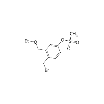 CCOCc1cc(OS(C)(=O)=O)ccc1CBr